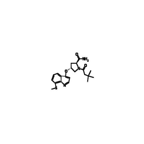 CSc1cccc2c(O[C@@H]3C[C@@H](C(N)=O)N(C(=O)CC(C)(C)C)C3)ccnc12